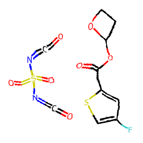 O=C(OC1CCO1)c1cc(F)cs1.O=C=NS(=O)(=O)N=C=O